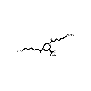 CCCCCCCCCCCCCCCC(=O)N1CCN(C(=O)CCCCCCCCCCCCCCC)CC(C(=O)OC)C1